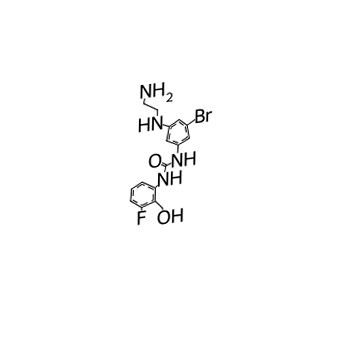 NCCNc1cc(Br)cc(NC(=O)Nc2cccc(F)c2CO)c1